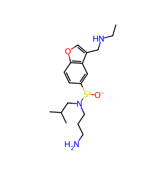 CCNCc1coc2ccc([S+]([O-])N(CCCN)CC(C)C)cc12